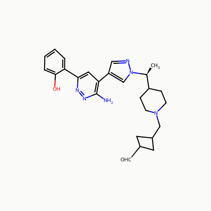 C[C@@H](C1CCN(CC2CC(C=O)C2)CC1)n1cc(-c2cc(-c3ccccc3O)nnc2N)cn1